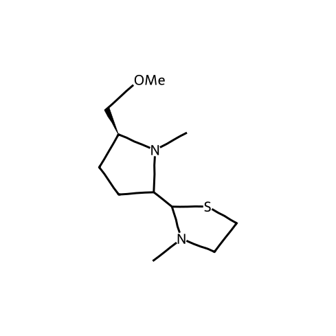 COC[C@@H]1CCC(C2SCCN2C)N1C